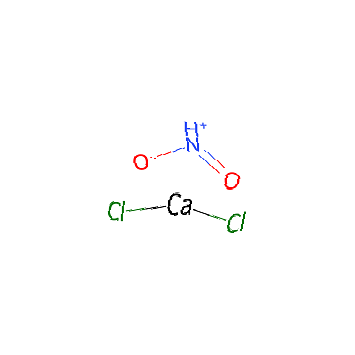 O=[NH+][O-].[Cl][Ca][Cl]